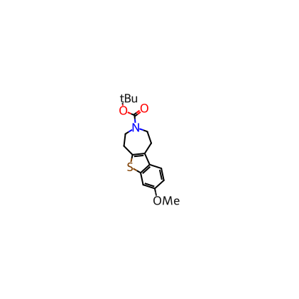 COc1ccc2c3c(sc2c1)CCN(C(=O)OC(C)(C)C)CC3